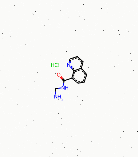 Cl.NCNC(=O)c1cccc2cccnc12